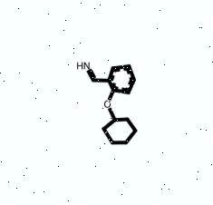 N=Cc1ccccc1OC1CCCCC1